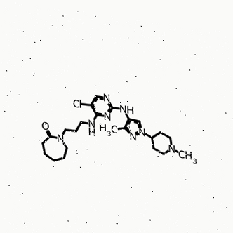 Cc1nn(C2CCN(C)CC2)cc1Nc1ncc(Cl)c(NCCCN2CCCCCC2=O)n1